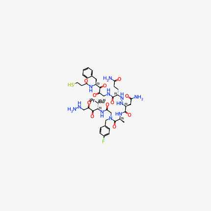 CC[C@H](C)C(NC(=O)[C@H](CCC(N)=O)NN[C@@H](CC(N)=O)C(=O)N[C@@H](C)C(=O)N(CC(=O)N[C@@H](CC(C)C)C(=O)C(=O)CNN)Cc1ccc(F)cc1)C(=O)C(=O)[C@H](Cc1ccccc1)NC(=O)CCS